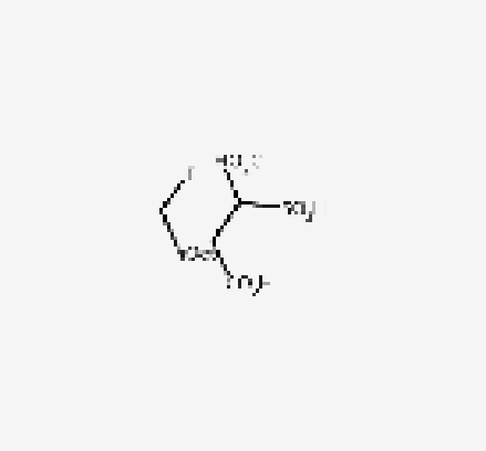 CCCCCCCC[CH2][K].O=C(O)CC(C(=O)O)S(=O)(=O)O